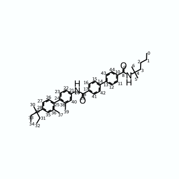 CCCCC(C)(C)NC(=O)c1ccc(-c2ccc(C(=O)Nc3ccc(-c4ccc(C(C)(CC)CC)cc4C)c(C)c3)cc2)cc1